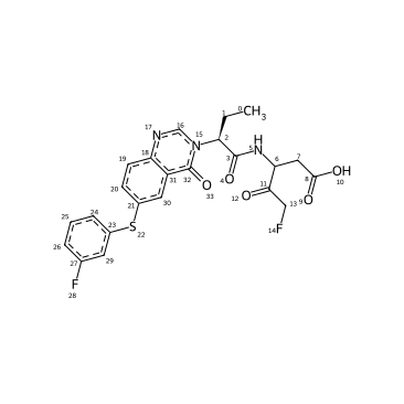 CC[C@@H](C(=O)NC(CC(=O)O)C(=O)CF)n1cnc2ccc(Sc3cccc(F)c3)cc2c1=O